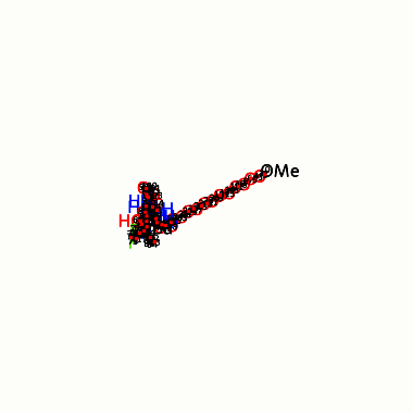 COCCOCCOCCOCCOCCOCCOCCOCCOCCOCCOCCOCCOC(=O)N[C@@H](C)C(=O)N[C@H](C)C(=O)N[C@@H](CC(N)=O)C(=O)N[C@@H](CCN(C(=O)CO)[C@@H](c1cc(-c2cc(F)ccc2F)cn1Cc1ccccc1)C(C)(C)C)C(=O)NCCNC(=O)CN1C(=O)C=CC1=O